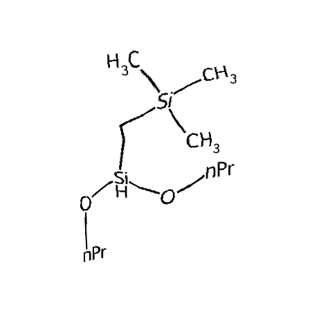 CCCO[SiH](C[Si](C)(C)C)OCCC